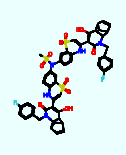 CS(=O)(=O)N(c1ccc2c(c1)S(=O)(=O)C=C(C1=C(O)C3C4C=CC(C4)C3N(Cc3ccc(F)cc3)C1=O)N2)c1ccc2c(c1)S(=O)(=O)C=C(C1=C(O)C3C4C=CC(C4)C3N(Cc3ccc(F)cc3)C1=O)N2